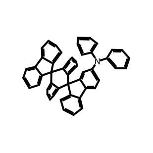 c1ccc(N(c2ccccc2)c2ccc3c(c2)C2(c4ccccc4-3)c3ccccc3C3(c4ccccc4-c4ccccc43)c3ccccc32)cc1